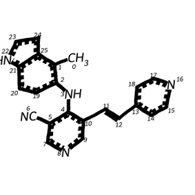 Cc1c(Nc2c(C#N)cncc2/C=C/c2ccncc2)ccc2[nH]ccc12